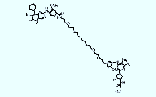 CC[C@@H]1C(=O)N(C)c2cnc(Nc3ccc(C(=O)NCCOCCOCCOCCOCCOCCOCCn4cc(Nc5nc(N6CC(NC(=O)OC(C)(C)C)[C@H](F)C6)nc6c5ncn6C)c(OC)n4)cc3OC)nc2N1C1CCCC1